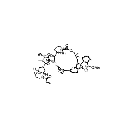 C=CC(=O)N1CCO[C@@H]2CN(C(=O)N(C)[C@H](C(=O)N[C@H]3Cc4nc(cs4)-c4ccc5c(c4)c(c(-c4cccnc4[C@H](C)OC)n5CC)CC(C)(C)COC(=O)[C@@H]4CCCN(N4)C3=O)C(C)C)C[C@@H]21